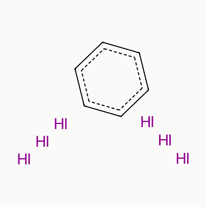 I.I.I.I.I.I.c1ccccc1